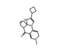 O=C1C2=CN(F)CC=C2N2C=C(C3CCC3)NC23CC=CCC13